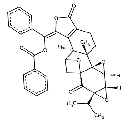 CC(C)[C@]12O[C@H]1[C@@H]1O[C@@]13[C@@]1(C)CCC4=C(/C(=C(\OC(=O)c5ccccc5)c5ccccc5)OC4=O)[C@@H]1C1C[C@@]3(O1)C2=O